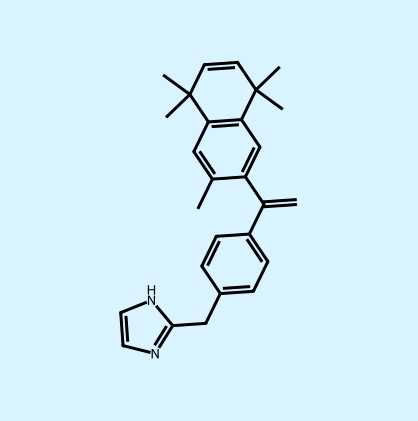 C=C(c1ccc(Cc2ncc[nH]2)cc1)c1cc2c(cc1C)C(C)(C)C=CC2(C)C